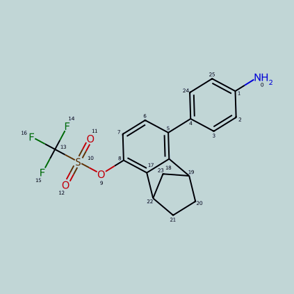 Nc1ccc(-c2ccc(OS(=O)(=O)C(F)(F)F)c3c2C2CCC3C2)cc1